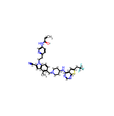 C=CC(=O)Nc1ccc(CCn2c(C#N)cc3c(C)c(CN4CCC(Nc5ncnc6sc(CC(F)(F)F)cc56)CC4)ccc32)nc1